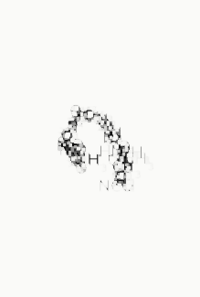 CC1(C)[C@H](NC(=O)c2cnc(N3CCN(CC4CCN(C(=O)C5CN(c6ccc7nnn(C8CCC(=O)NC8=O)c(=O)c7c6)C5)CC4)CC3)nc2)C(C)(C)[C@H]1Oc1ccc(C#N)c(Cl)c1